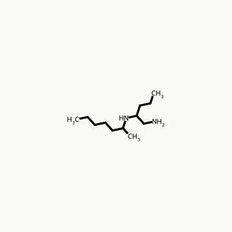 CCCCCC(C)NC(CN)CCC